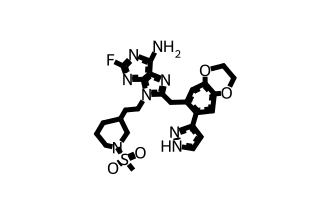 CS(=O)(=O)N1CCCC(CCn2c(Cc3cc4c(cc3-c3cc[nH]n3)OCCO4)nc3c(N)nc(F)nc32)C1